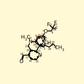 C/C=C(\C=C/C(F)OCC(F)(F)F)c1nccc(C=O)c1CN(C)c1cnn(CCC)c1